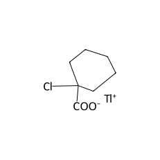 O=C([O-])C1(Cl)CCCCC1.[Tl+]